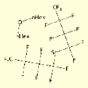 CCCCCCOCCCCCC.FC(F)(F)C(F)(F)C(F)(F)[C](F)(F)[Sn][C](F)(F)C(F)(F)C(F)(F)C(F)(F)F